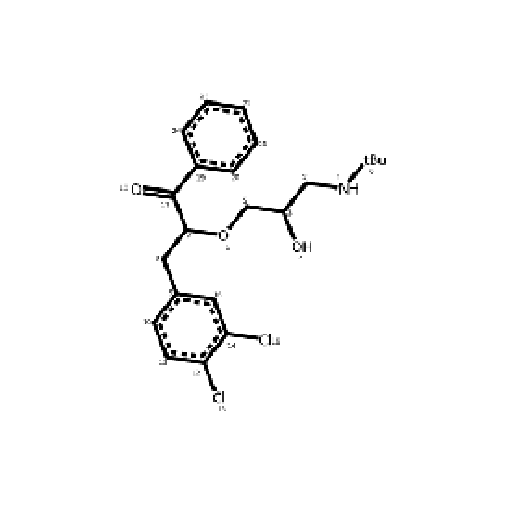 CC(C)(C)NCC(O)COC(Cc1ccc(Cl)c(Cl)c1)C(=O)c1ccccc1